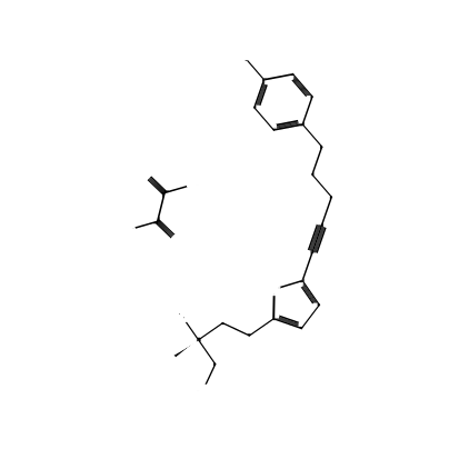 C[C@](N)(CO)CCc1ccc(C#CCCCc2ccc(Cl)cc2)o1.O=C(O)C(=O)O